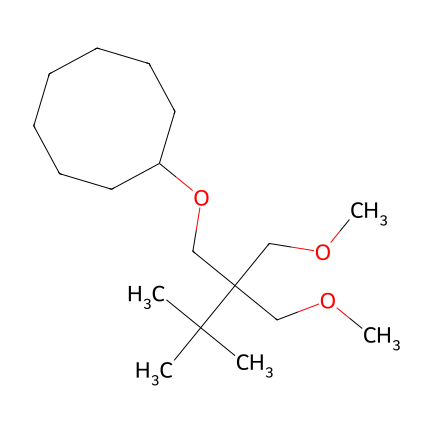 COCC(COC)(COC1CCCCCCC1)C(C)(C)C